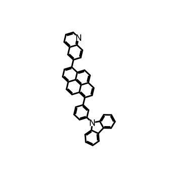 c1cc(-c2ccc3ccc4c(-c5ccc6ncccc6c5)ccc5ccc2c3c54)cc(-n2c3ccccc3c3ccccc32)c1